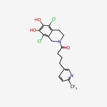 O=C(CCCc1ccc(C(F)(F)F)nc1)N1CCc2c(Cl)c(O)c(O)c(Cl)c2C1